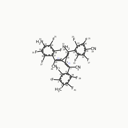 Cc1c(F)c(F)c(/C(C#N)=C2/C(=C(N)c3c(F)c(F)c(C#N)c(F)c3F)/C2=C(/C#N)c2c(F)c(F)c(N)c(F)c2F)c(F)c1F